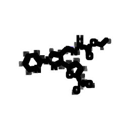 CCOC(=O)N/N=C/c1cn(-c2ccccn2)nc1-c1ccc([N+](=O)[O-])o1